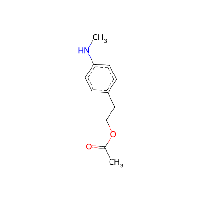 CNc1ccc(CCOC(C)=O)cc1